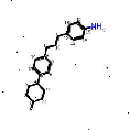 CC1CCC(c2ccc(CCCc3ccc(N)cc3)cc2)CC1